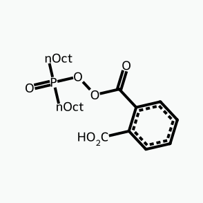 CCCCCCCCP(=O)(CCCCCCCC)OOC(=O)c1ccccc1C(=O)O